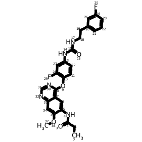 CCC(=O)Nc1cc2c(Oc3ccc(NC(=O)NCCc4cccc(F)c4)cc3F)ncnc2cc1OC